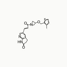 Cc1ccsc1COC1CN(C(=O)C=Cc2cnc3c(c2)CCC(=O)N3)C1